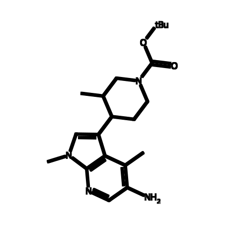 Cc1c(N)cnc2c1c(C1CCN(C(=O)OC(C)(C)C)CC1C)cn2C